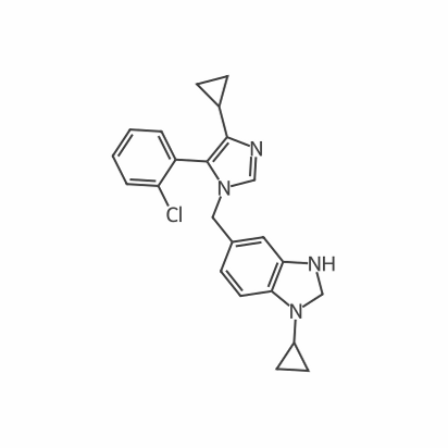 Clc1ccccc1-c1c(C2CC2)ncn1Cc1ccc2c(c1)NCN2C1CC1